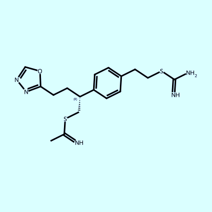 CC(=N)SC[C@H](CCc1nnco1)c1ccc(CCSC(=N)N)cc1